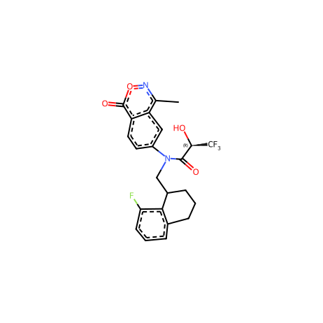 Cc1noc(=O)c2ccc(N(CC3CCCc4cccc(F)c43)C(=O)[C@@H](O)C(F)(F)F)cc12